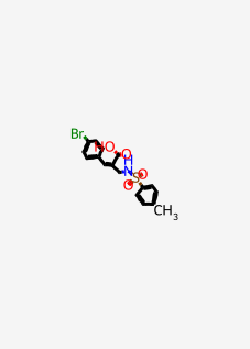 Cc1ccc(S(=O)(=O)NCC(=Cc2ccc(Br)cc2)C(=O)O)cc1